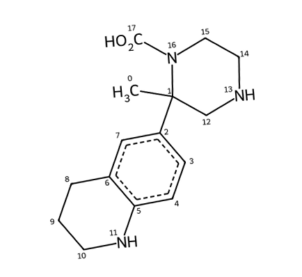 CC1(c2ccc3c(c2)CCCN3)CNCCN1C(=O)O